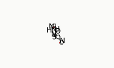 O=C(N[C@@H]1CN2CCC1CC2)c1nsc2cc(-c3ccccn3)ccc12